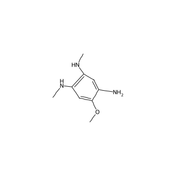 CNc1cc(N)c(OC)cc1NC